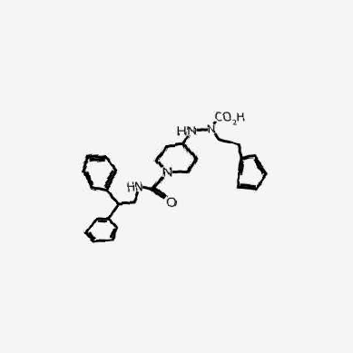 O=C(NCC(c1ccccc1)c1ccccc1)N1CCC(NN(CCc2ccccc2)C(=O)O)CC1